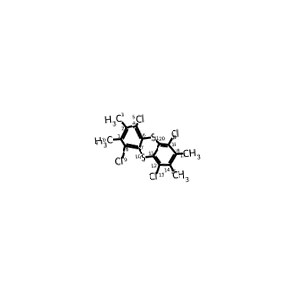 Cc1c(C)c(Cl)c2c(c1Cl)Sc1c(Cl)c(C)c(C)c(Cl)c1S2